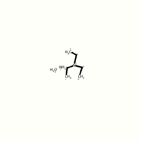 CCN(CC)CC.N.O